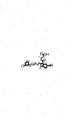 C[C@H](CC(=O)O)CC(=O)c1c(CCCCOCc2cccc(Cl)c2)n(C)c2ccc(C#N)cc12